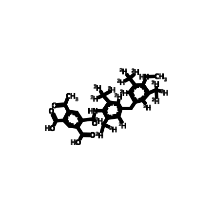 [2H]c1c(Cc2c([2H])c(C([2H])([2H])[2H])c(NC(=O)c3cc(C(C)=O)c(C(=O)O)cc3C(=O)O)c(C([2H])([2H])[2H])c2[2H])c([2H])c(C([2H])([2H])[2H])c(NC)c1C([2H])([2H])[2H]